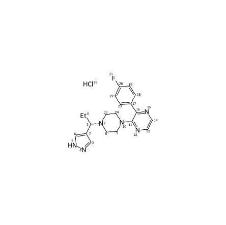 CCC(c1cn[nH]c1)N1CCN(c2nccnc2-c2ccc(F)cc2)CC1.Cl